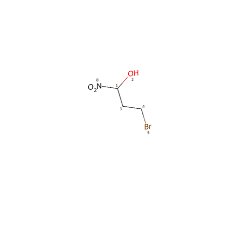 O=[N+]([O-])C(O)CCBr